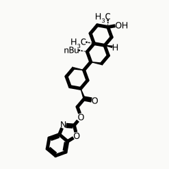 CCCC[C@H]1[C@H]([C@@H]2CCC[C@H](C(=O)COc3nc4ccccc4o3)C2)CC[C@H]2C[C@](C)(O)CC[C@@]21C